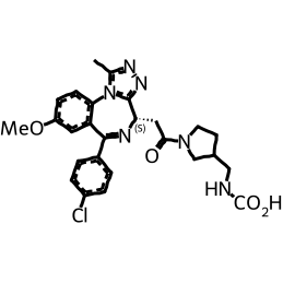 COc1ccc2c(c1)C(c1ccc(Cl)cc1)=N[C@@H](CC(=O)N1CCC(CNC(=O)O)C1)c1nnc(C)n1-2